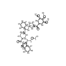 CCOCCn1c(C(=O)C2CCN(CCC3(c4ccccc4)CCN(C(=O)c4cc(OC)c(OC)c(OC)c4)C3)CC2)nc2ccccc21